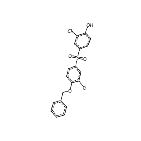 O=S(=O)(c1ccc(O)c(Cl)c1)c1ccc(OCc2ccccc2)c(Cl)c1